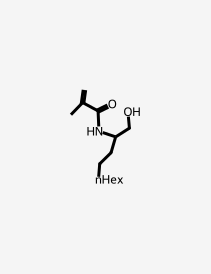 C=C(C)C(=O)NC(CO)CCCCCCCC